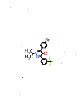 CC(C)n1cc(-c2ccc(Br)cc2)c(=O)c(-c2cccc(C(F)(F)F)c2)n1